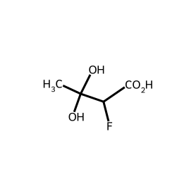 CC(O)(O)C(F)C(=O)O